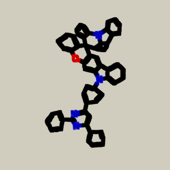 c1ccc(-c2cc(-c3ccc(-n4c5ccccc5c5cc6c(cc54)Oc4ccccc4C64c5ccccc5-n5c6ccccc6c6cccc4c65)cc3)nc(-c3ccccc3)n2)cc1